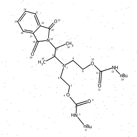 CCCCNC(=O)OCCN(CCOC(=O)NCCCC)C(C)C(C)N1C(=O)c2ccccc2C1=O